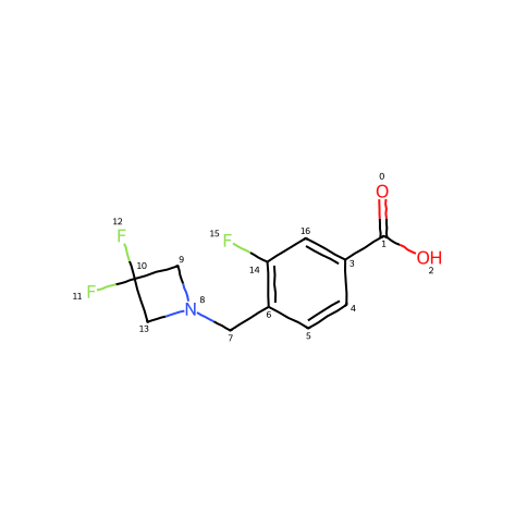 O=C(O)c1ccc(CN2CC(F)(F)C2)c(F)c1